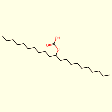 CCCCCCCCCCC(CCCCCCCCCC)OC(=O)O